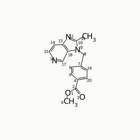 COC(=O)c1ccc(Cn2c(C)nc3ccncc32)cc1